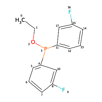 CCOP(c1cccc(F)c1)c1cccc(F)c1